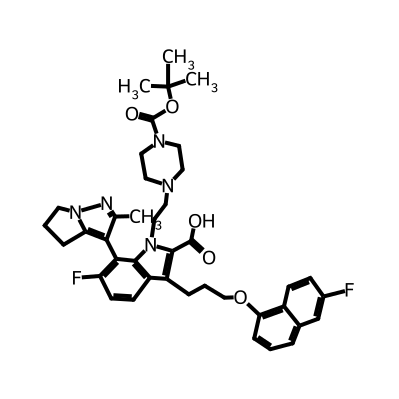 Cc1nn2c(c1-c1c(F)ccc3c(CCCOc4cccc5cc(F)ccc45)c(C(=O)O)n(CCN4CCN(C(=O)OC(C)(C)C)CC4)c13)CCC2